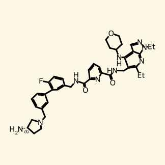 CCc1nc2c(cnn2CC)c(NC2CCOCC2)c1CNC(=O)c1cccc(C(=O)NCc2ccc(F)c(-c3cccc(CN4CC[C@H](N)C4)c3)c2)n1